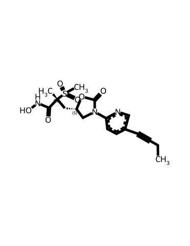 CCC#Cc1ccc(N2C[C@H](C[C@](C)(C(=O)NO)S(C)(=O)=O)OC2=O)nc1